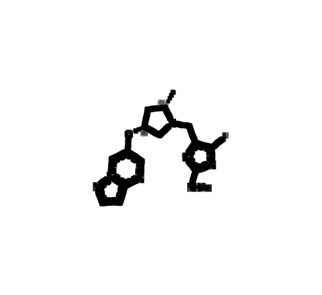 CC(=O)Nc1nc(F)c(CN2C[C@H](Oc3cnc4ccnn4c3)C[C@@H]2C)s1